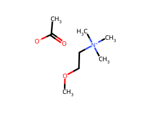 CC(=O)[O-].COCC[N+](C)(C)C